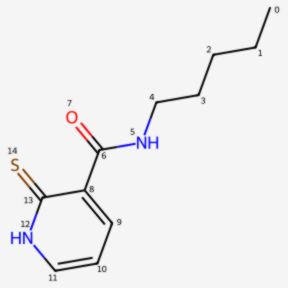 CCCCCNC(=O)c1ccc[nH]c1=S